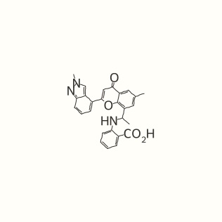 Cc1cc(C(C)Nc2ccccc2C(=O)O)c2oc(-c3cccc4nn(C)cc34)cc(=O)c2c1